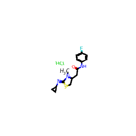 CN1C(=NC2CC2)SCC1CC(=O)Nc1ccc(F)cc1.Cl